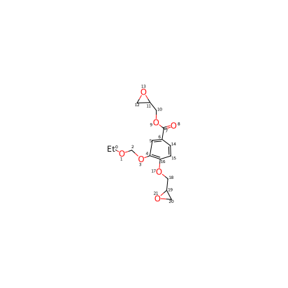 CCOCOc1cc(C(=O)OCC2CO2)ccc1OCC1CO1